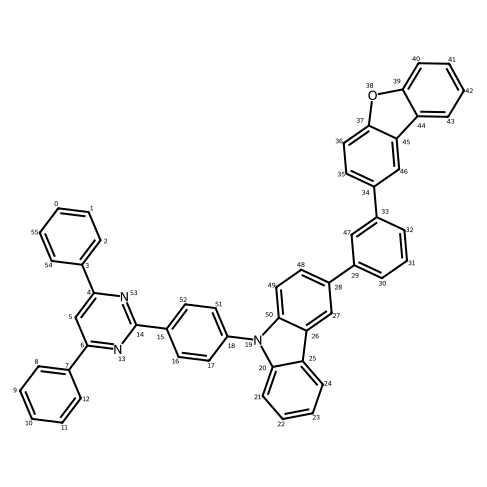 c1ccc(-c2cc(-c3ccccc3)nc(-c3ccc(-n4c5ccccc5c5cc(-c6cccc(-c7ccc8oc9ccccc9c8c7)c6)ccc54)cc3)n2)cc1